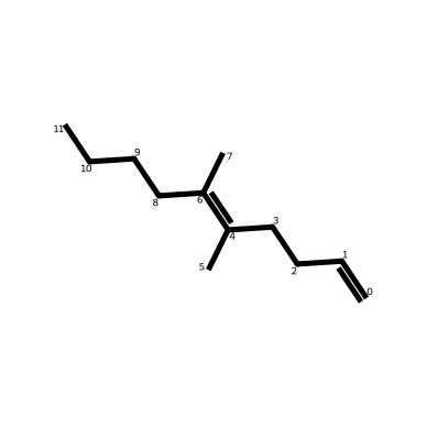 C=CCC/C(C)=C(\C)CCCC